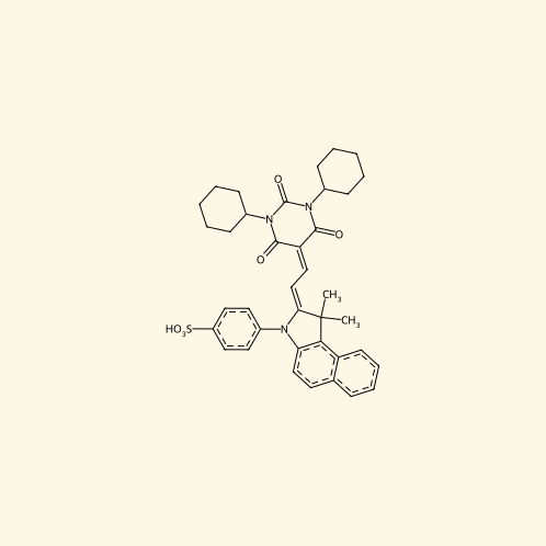 CC1(C)/C(=C\C=C2C(=O)N(C3CCCCC3)C(=O)N(C3CCCCC3)C2=O)N(c2ccc(S(=O)(=O)O)cc2)c2ccc3ccccc3c21